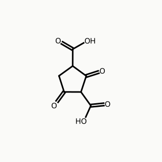 O=C(O)C1CC(=O)C(C(=O)O)C1=O